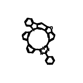 c1ccc(-c2nc3nc(n2)c2ccc4oc5cc6c7ccccc7n(c7cccc(c7)c7cccc3c7)c6cc5c4c2)cc1